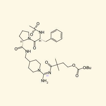 CC(C)COC(=O)OCCC(C)(C)C(=O)/N=C(/N)N1CCC(CNC(=O)[C@@H]2CCCN2C(=O)[C@@H](Cc2ccccc2)NS(C)(=O)=O)CC1